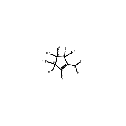 FC1=C(C(F)F)C(F)(F)C(F)(F)C1(F)F